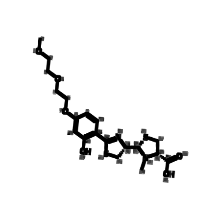 COCCOCCOc1ccc(C2=N[C@H]([C@@H]3SC[C@H](C(=O)O)N3C)CS2)c(O)c1